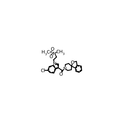 CN(CCn1cc(C(=O)N2CCC3(CC2)OCc2ccccc23)c2ccc(Cl)cc21)S(C)(=O)=O